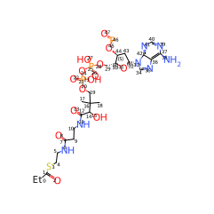 CCC(=O)SCCNC(=O)CCNC(=O)C(O)C(C)(C)COP(=O)(O)OP(=O)(O)OC[C@H]1O[C@@H](n2cnc3c(N)ncnc32)C[C@@H]1OP=O